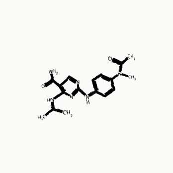 CC(=O)N(C)c1ccc(Nc2ncc(C(N)=O)c(NC(C)C)n2)cc1